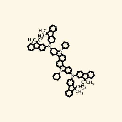 CC1(C)C2=CC(N(c3ccc4c(c3)C(C)(C)c3ccccc3-4)C3C=Cc4c(n(-c5ccccc5)c5ccc6c(ccc7c6c6ccc(N(c8ccc9c(c8)C(C)(C)c8ccccc8-9)c8ccc9c(c8)C(C)(C)c8ccccc8-9)cc6n7C6C=CC=CC6)c45)C3)CC=C2c2ccccc21